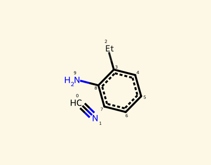 C#N.CCc1ccccc1N